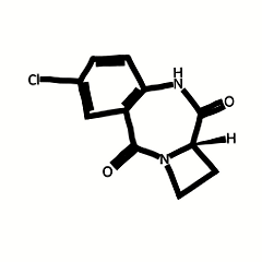 O=C1Nc2ccc(Cl)cc2C(=O)N2CC[C@@H]12